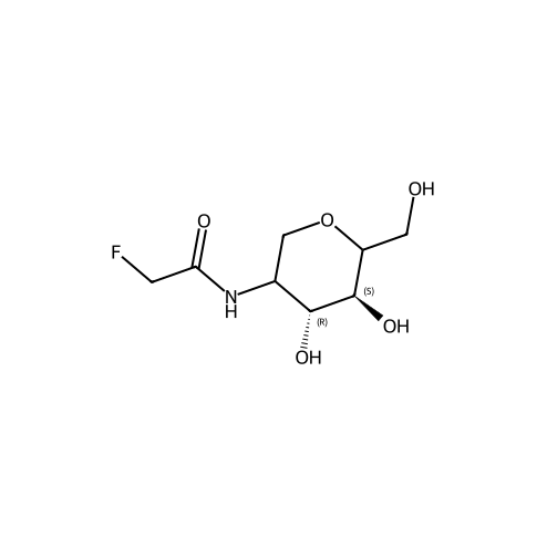 O=C(CF)NC1COC(CO)[C@@H](O)[C@@H]1O